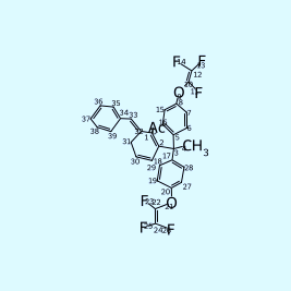 CC(=O)C1=C(C(C)(c2ccc(OC(F)=C(F)F)cc2)c2ccc(OC(F)=C(F)F)cc2)C=CCC1=Cc1ccccc1